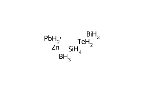 B.[BiH3].[PbH2].[SiH4].[TeH2].[Zn]